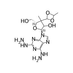 CC1OC(C2(C)C(O)[C@@H](n3cnc4c(NN)nc(NN)nc43)O[C@@H]2CO)O1